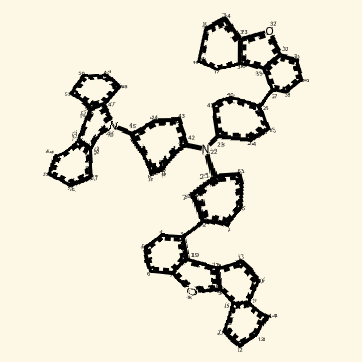 c1cc(-c2cccc3oc4c5ccccc5ccc4c23)cc(N(c2ccc(-c3cccc4oc5ccccc5c34)cc2)c2ccc(-n3c4ccccc4c4ccccc43)cc2)c1